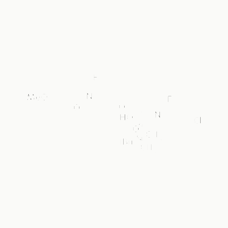 COc1ccc(CN2C(=O)CCc3c(OC[C@@]4(O)CCN(c5ccc(Cl)cc5F)C[C@H]4O[Si](C)(C)C(C)(C)C)ccc(F)c32)cc1